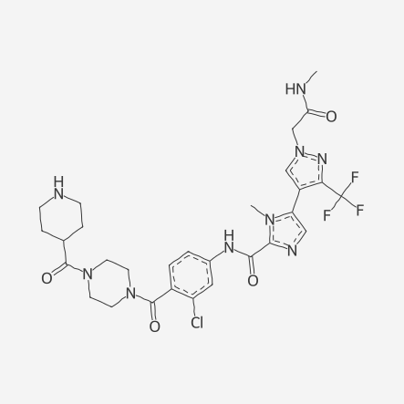 CNC(=O)Cn1cc(-c2cnc(C(=O)Nc3ccc(C(=O)N4CCN(C(=O)C5CCNCC5)CC4)c(Cl)c3)n2C)c(C(F)(F)F)n1